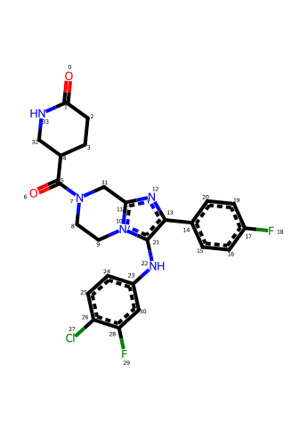 O=C1CCC(C(=O)N2CCn3c(nc(-c4ccc(F)cc4)c3Nc3ccc(Cl)c(F)c3)C2)CN1